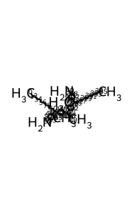 CCCCCCCCCCCC(c1ccc(C(CCC)c2ccc(C(CCCCCCCCCCC)c3ccc(N)cc3C)cc2)cc1)c1ccc(N)cc1C